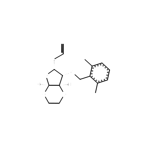 C=CC[C@H]1O[C@@H]2OCCO[C@@H]2[C@H]1OCc1c(C)cccc1C